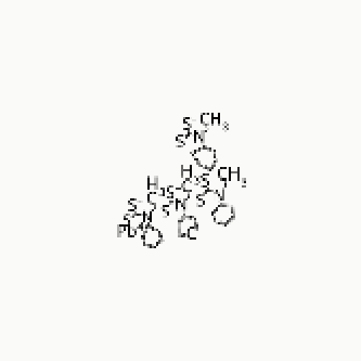 CCN(C(=S)[S-])c1ccccc1.CCN(C(=S)[S-])c1ccccc1.CCN(C(=S)[S-])c1ccccc1.CCN(C(=S)[S-])c1ccccc1.[Pb+4]